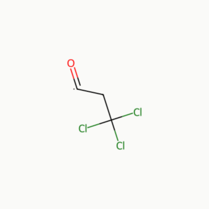 O=[C]CC(Cl)(Cl)Cl